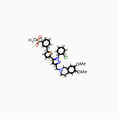 COc1cc2c(cc1OC)CN(Cc1cc(-c3ccc(-c4cccc(S(C)(=O)=O)c4)s3)n(-c3ccccc3Cl)n1)CC2